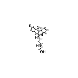 O=c1c2cc(F)ccc2sc2c(NCCCNCCO)nc3ccccc3c12